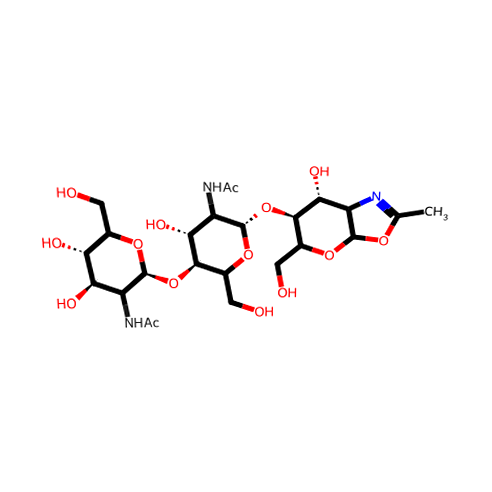 CC(=O)NC1[C@H](O[C@@H]2C(CO)O[C@@H](O[C@@H]3C(CO)OC4OC(C)=NC4[C@H]3O)C(NC(C)=O)[C@H]2O)OC(CO)[C@@H](O)[C@@H]1O